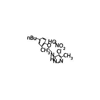 CCCCc1ccc(OCCNc2ncnc(C)c2Cl)c(C)c1.O=[N+]([O-])O